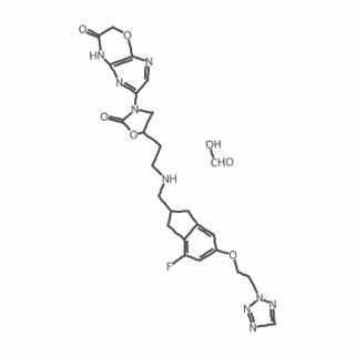 O=C1COc2ncc(N3CC(CCNCC4Cc5cc(OCCn6ncnn6)cc(F)c5C4)OC3=O)nc2N1.O=CO